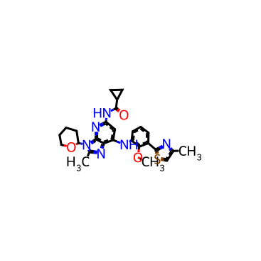 COc1c(Nc2cc(NC(=O)C3CC3)nc3c2nc(C)n3C2CCCCO2)cccc1-c1nc(C)cs1